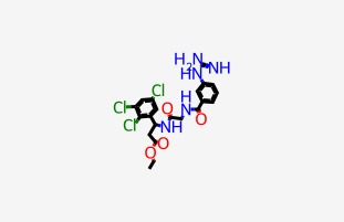 CCOC(=O)CC(NC(=O)CNC(=O)c1cccc(NC(=N)N)c1)c1cc(Cl)cc(Cl)c1Cl